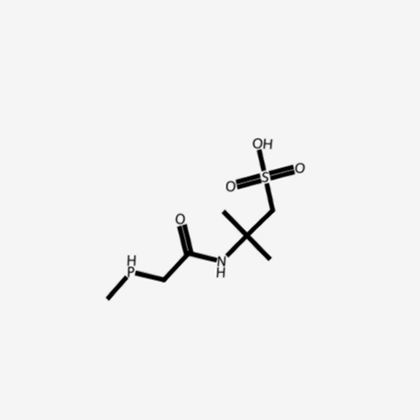 CPCC(=O)NC(C)(C)CS(=O)(=O)O